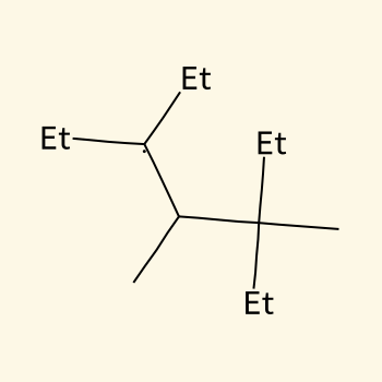 CC[C](CC)C(C)C(C)(CC)CC